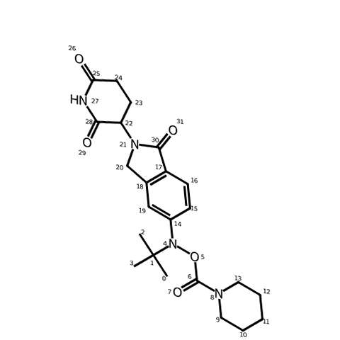 CC(C)(C)N(OC(=O)N1CCCCC1)c1ccc2c(c1)CN(C1CCC(=O)NC1=O)C2=O